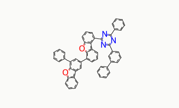 c1ccc(-c2cccc(-c3nc(-c4ccccc4)nc(-c4cccc5oc6c(-c7cc(-c8ccccc8)c8oc9ccccc9c8c7)cccc6c45)n3)c2)cc1